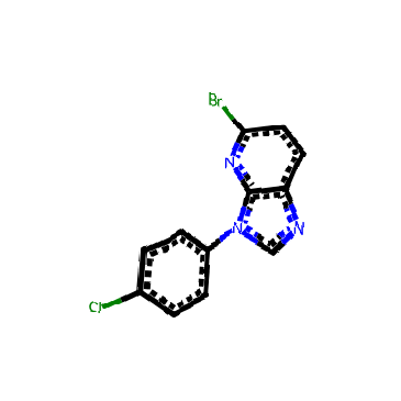 Clc1ccc(-n2cnc3ccc(Br)nc32)cc1